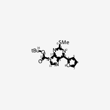 CSc1nc(-c2ccco2)c2ncn(C(=O)OC(C)(C)C)c2n1